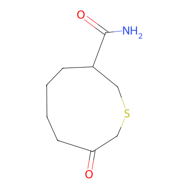 NC(=O)C1CCCCC(=O)CSC1